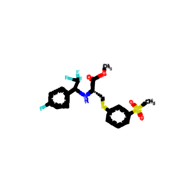 COC(=O)[C@H](CSc1cccc(S(C)(=O)=O)c1)NC(c1ccc(F)cc1)C(F)(F)F